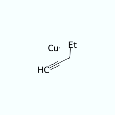 C#CCCC.[Cu]